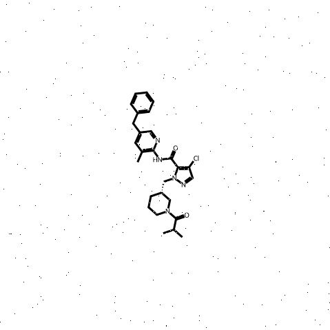 Cc1cc(Cc2ccccc2)cnc1NC(=O)c1c(Cl)cnn1C[C@H]1CCCN(C(=O)C(C)C)C1